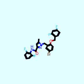 Cc1cc(C(=O)Nc2c(F)cccc2F)nn1Cc1cc(Br)ccc1OCc1ccc(F)cc1F